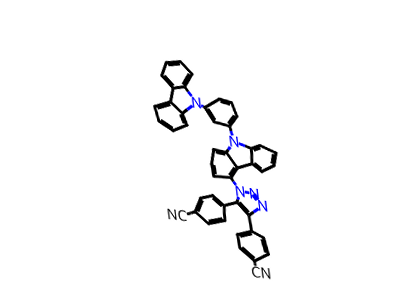 N#Cc1ccc(-c2nnn(-c3cccc4c3c3ccccc3n4-c3cccc(-n4c5ccccc5c5ccccc54)c3)c2-c2ccc(C#N)cc2)cc1